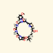 COc1ccc(C[C@@H]2NC(=O)/C(C)=C/[C@H]3CSC(=N3)[C@@H](C)[C@@H](O)C[C@H](C)C[C@@H](C(C)(C)C)OC(=O)[C@@H]3CCCN3C(=O)[C@H](C)N(C)C(=O)[C@H](C)N(C)C2=O)cc1